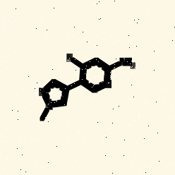 Cn1cc(-c2cnc(N)cc2F)cn1